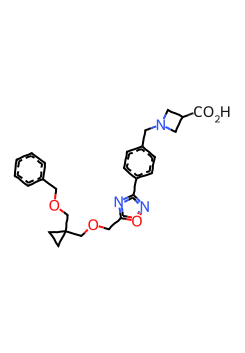 O=C(O)C1CN(Cc2ccc(-c3noc(COCC4(COCc5ccccc5)CC4)n3)cc2)C1